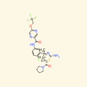 C[C@@]1(c2cc(NC(=O)c3cnc(OCC(F)(F)F)cn3)ccc2F)N=C(N)S[C@@]2(C(=O)N3CCCC3)C[C@@H]12